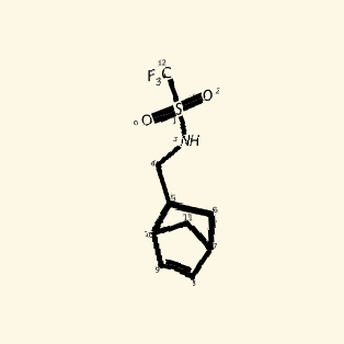 O=S(=O)(NCC1CC2C=CC1C2)C(F)(F)F